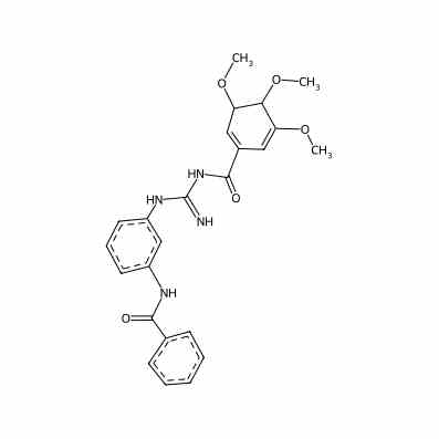 COC1=CC(C(=O)NC(=N)Nc2cccc(NC(=O)c3ccccc3)c2)=CC(OC)C1OC